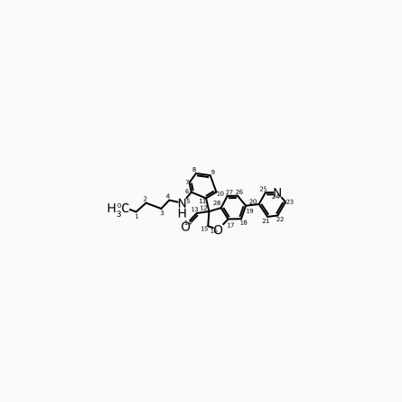 CCCCCNc1ccccc1C1(C=O)COc2cc(-c3cccnc3)ccc21